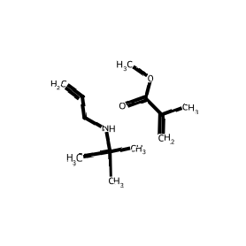 C=C(C)C(=O)OC.C=CCNC(C)(C)C